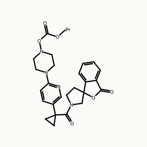 CC(C)OC(=O)ON1CCN(c2ccc(C3(C(=O)N4CCC5(C4)OC(=O)c4ccccc45)CC3)cn2)CC1